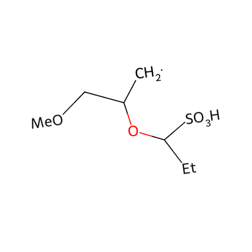 [CH2]C(COC)OC(CC)S(=O)(=O)O